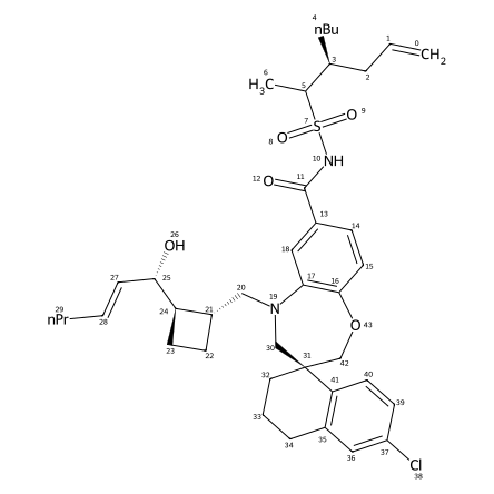 C=CC[C@H](CCCC)C(C)S(=O)(=O)NC(=O)c1ccc2c(c1)N(C[C@@H]1CC[C@H]1[C@@H](O)/C=C/CCC)C[C@@]1(CCCc3cc(Cl)ccc31)CO2